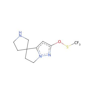 FC(F)(F)SOc1cc2n(n1)CCC21CCNC1